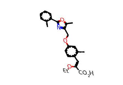 CCOC(=Cc1ccc(OCc2nc(-c3ccccc3C)oc2C)cc1C)C(=O)O